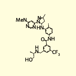 CNc1cc(N2N=C(C)CC2Nc2cc(NC(=O)c3cc(CN[C@H](C)CO)cc(C(F)(F)F)c3)ccc2C)ncn1